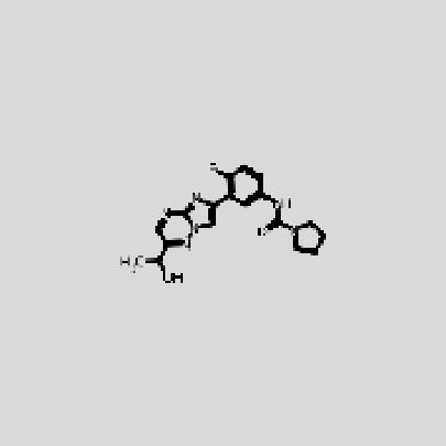 CC(O)c1cnc2nc(-c3cc(NC(=O)N4CCCC4)ccc3F)cn2n1